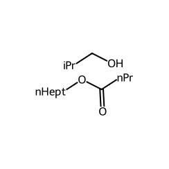 CC(C)CO.CCCCCCCOC(=O)CCC